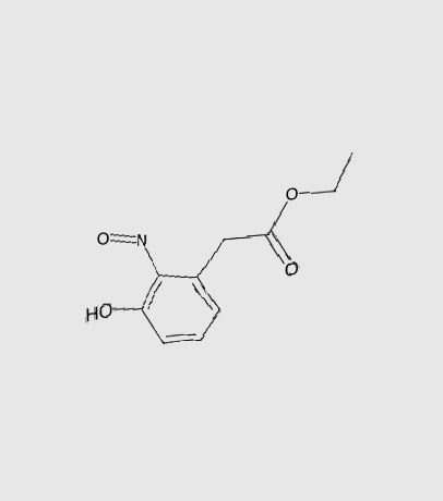 CCOC(=O)Cc1cccc(O)c1N=O